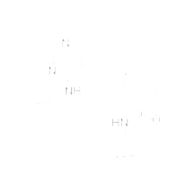 O=C(NC1CC1)c1cccc(-c2ccc3ncnc(NC4CC4)c3c2)c1